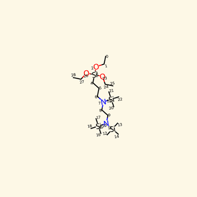 CCO[Si](CCCN(CCN([Si](C)(C)C)[Si](C)(C)C)[Si](C)(C)C)(OCC)OCC